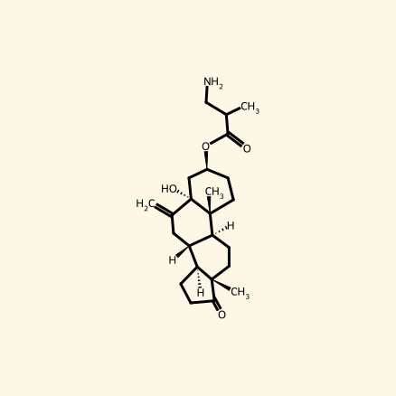 C=C1C[C@H]2[C@@H]3CCC(=O)[C@@]3(C)CC[C@@H]2[C@@]2(C)CC[C@H](OC(=O)C(C)CN)C[C@]12O